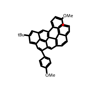 COc1ccc(-c2cc3cc(C(C)(C)C)cc4cc(-c5ccc(OC)cc5)c5c6c(ccc7ccccc76)cc2c5c34)cc1